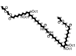 C=CC(=O)OCCOC(=O)CCCCCCCCC(CCCCCCCC)C(CCCCCCCC)CCCCCCCCC(=O)NCCNC(=O)CCCCCCCCC(CCCCCCCC)C(CCCCCCCC)CCCCCCCCC(=O)OCCOC(=O)C=C